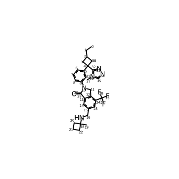 CCC1CC(c2cccc(N3Cc4c(cc(CNC5(C)CCC5)cc4C(F)(F)F)C3=O)c2)(c2nncn2C)C1